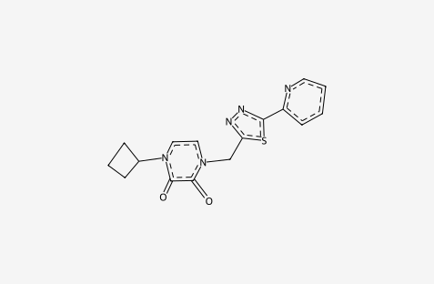 O=c1c(=O)n(C2CCC2)ccn1Cc1nnc(-c2ccccn2)s1